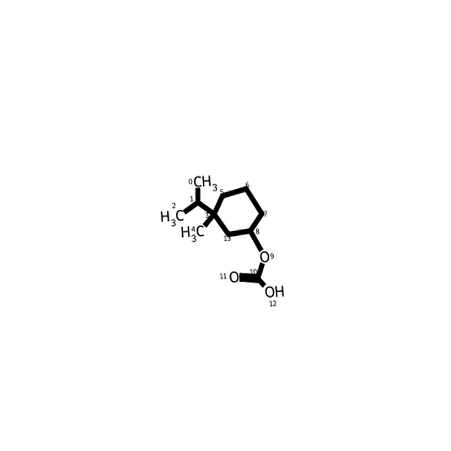 CC(C)C1(C)CCCC(OC(=O)O)C1